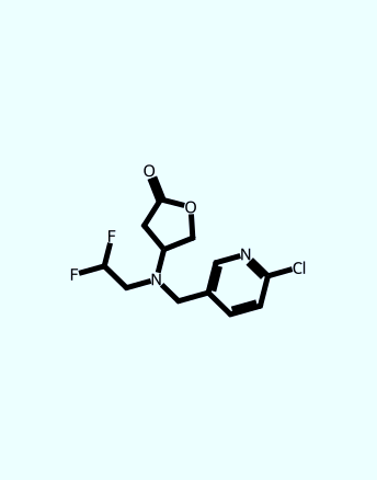 O=C1CC(N(Cc2ccc(Cl)nc2)CC(F)F)CO1